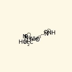 O=C(O)C(CCO[C@H]1C[C@H](CCc2ccc3c(n2)NCCC3)C1)NC(=O)C1CCCc2cn[nH]c21